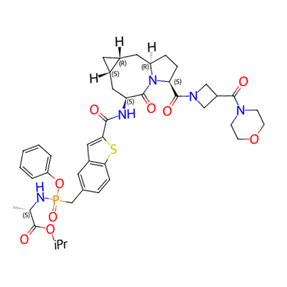 CC(C)OC(=O)[C@H](C)NP(=O)(Cc1ccc2sc(C(=O)N[C@H]3C[C@@H]4C[C@@H]4C[C@H]4CC[C@@H](C(=O)N5CC(C(=O)N6CCOCC6)C5)N4C3=O)cc2c1)Oc1ccccc1